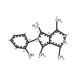 Cc1nnc(C)c2c(C)n(-c3ccccc3O)c(C)c12